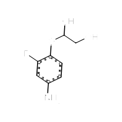 CC(CO)Oc1ccc(N)cc1F